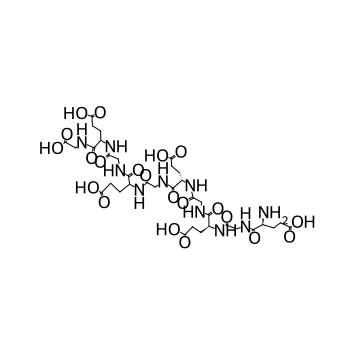 N[C@@H](CCC(=O)O)C(=O)NCC(=O)N[C@@H](CCC(=O)O)C(=O)NCC(=O)N[C@@H](CCC(=O)O)C(=O)NCC(=O)NC(CCC(=O)O)C(=O)NCC(=O)NC(CCC(=O)O)C(=O)NCC(=O)O